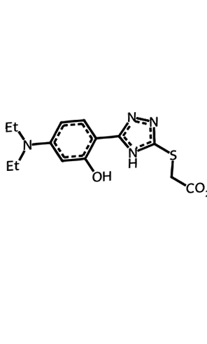 CCN(CC)c1ccc(-c2nnc(SCC(=O)O)[nH]2)c(O)c1